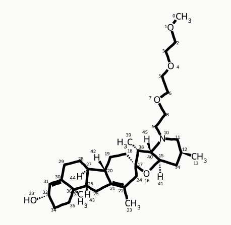 COCCOCCOCCN1C[C@@H](C)C[C@H]2O[C@]3(CC[C@@H]4C(=C(C)C3)C[C@H]3[C@H]4CCC4=C[C@@H](O)CC[C@@]43C)[C@H](C)[C@@H]21